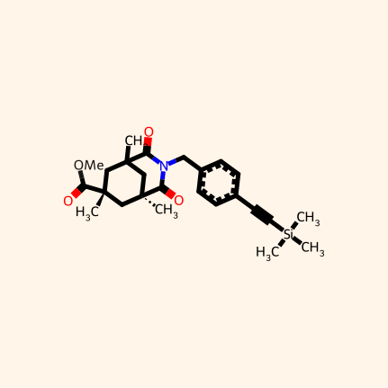 COC(=O)[C@]1(C)CC2(C)C[C@](C)(C1)C(=O)N(Cc1ccc(C#C[Si](C)(C)C)cc1)C2=O